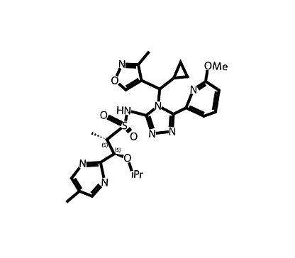 COc1cccc(-c2nnc(NS(=O)(=O)[C@@H](C)[C@@H](OC(C)C)c3ncc(C)cn3)n2C(c2conc2C)C2CC2)n1